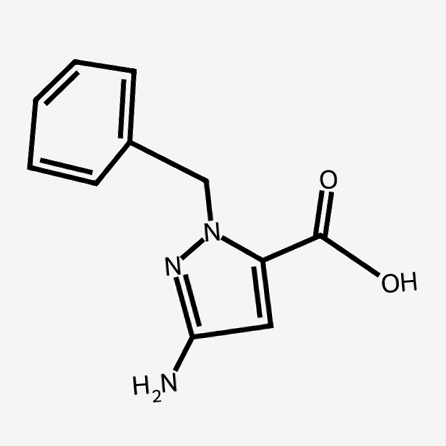 Nc1cc(C(=O)O)n(Cc2ccccc2)n1